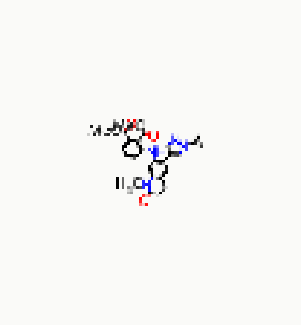 COC(=O)c1cccc(Nc2cc3c(cc2-c2cnn(C4CC4)c2)CCC(=O)N3C)c1C(=O)OC